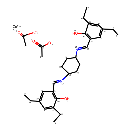 CC(=O)[O-].CC(=O)[O-].CCc1cc(C=NC2CCC(N=Cc3cc(CC)cc(CC)c3O)CC2)c(O)c(CC)c1.[Co+2]